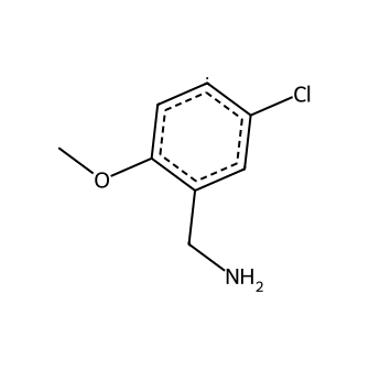 COc1c[c]c(Cl)cc1CN